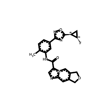 Cc1ccc(-c2noc([C@H]3C[C@@H]3F)n2)cc1NC(=O)c1cnc2cc3c(cn12)COC3